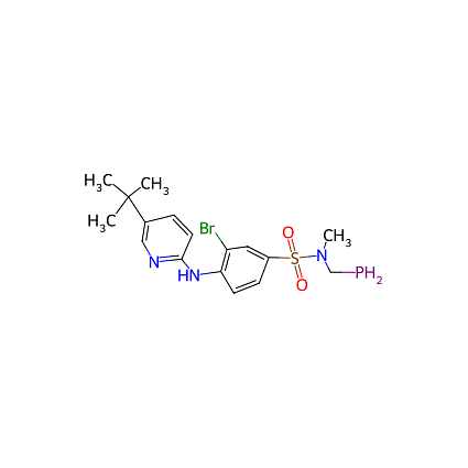 CN(CP)S(=O)(=O)c1ccc(Nc2ccc(C(C)(C)C)cn2)c(Br)c1